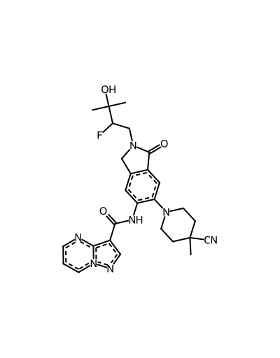 CC1(C#N)CCN(c2cc3c(cc2NC(=O)c2cnn4cccnc24)CN(CC(F)C(C)(C)O)C3=O)CC1